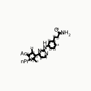 CCCn1c(C)c(-c2ccnc(Nc3cccc(CCC(N)=O)c3)n2)c(C)c1C(C)=O